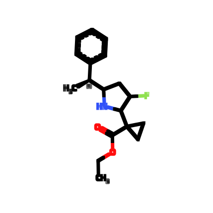 CCOC(=O)C1(C2NC([C@@H](C)c3ccccc3)CC2F)CC1